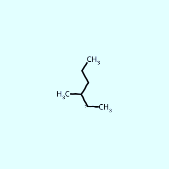 C[C]C(C)CCC